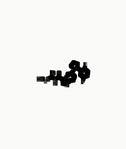 CC[C@H](NC(=O)c1cnc2ccc(N3CCCC3c3cc(F)ccc3F)cn12)C(=O)O